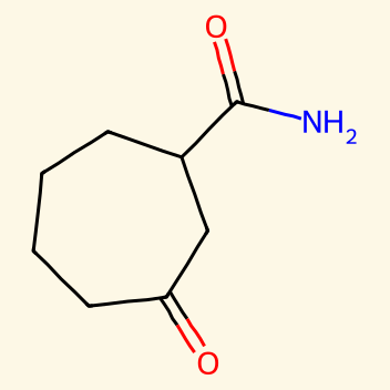 NC(=O)C1CCCCC(=O)C1